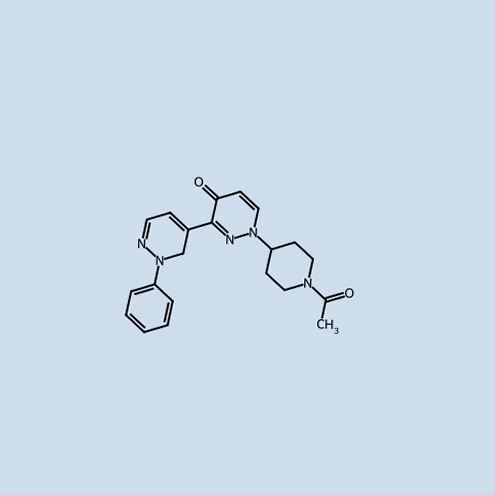 CC(=O)N1CCC(n2ccc(=O)c(C3=CC=NN(c4ccccc4)C3)n2)CC1